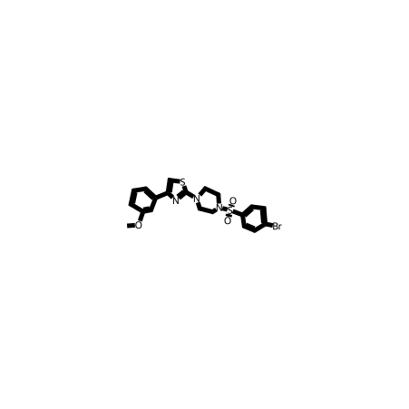 COc1cccc(-c2csc(N3CCN(S(=O)(=O)c4ccc(Br)cc4)CC3)n2)c1